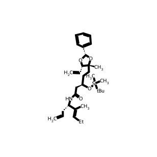 C=CC[C@H](NC(=O)C[C@@H](CC[C@@]1(C)O[C@@H](c2ccccc2)O[C@H]1C=C)O[Si](C)(C)C(C)(C)C)/C(C)=C/CC